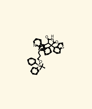 CC(C)(C)[Si](OCCCn1cc(C2C(=O)NC(=O)C2(c2cccc3sccc23)c2cccc3sccc23)c2cccnc21)(c1ccccc1)c1ccccc1